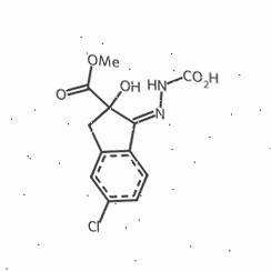 COC(=O)C1(O)Cc2cc(Cl)ccc2C1=NNC(=O)O